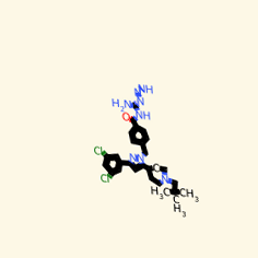 CC(C)(C)CN1CCC(c2cc(-c3cc(Cl)cc(Cl)c3)nn2Cc2ccc(C(=O)N/C(N)=N/N=N)cc2)CC1